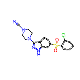 N#CN1CCN(c2n[nH]c3cc(S(=O)(=O)c4ccccc4Cl)ccc23)CC1